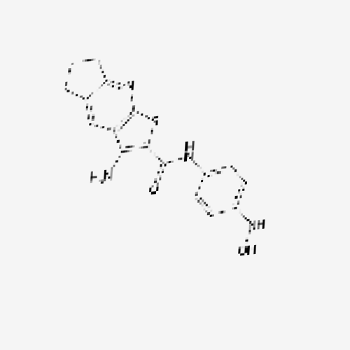 Nc1c(C(=O)Nc2ccc(NO)cc2)sc2nc3c(cc12)CCC3